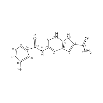 NC(=O)c1cc2c([nH]1)NCC(NC(=O)c1cccc(F)c1)=C2